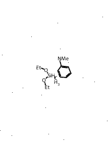 CCO[SiH](C)OCC.CNc1ccccc1